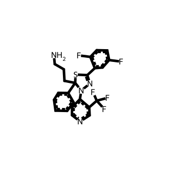 NCCCC1(c2ccccc2)SC(c2cc(F)ccc2F)=NN1c1ccncc1C(F)(F)F